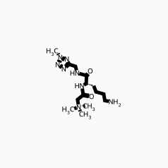 Cn1nnc(CNC(=O)[C@H](CCCCN)NC(=O)C[N+](C)(C)C)n1